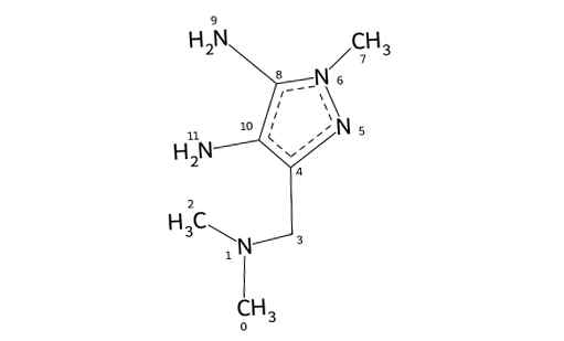 CN(C)Cc1nn(C)c(N)c1N